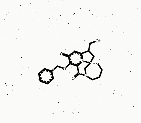 O=C1c2c(OCc3ccccc3)c(=O)cc3n2[C@@]2(CCCCN1C2)CC3CO